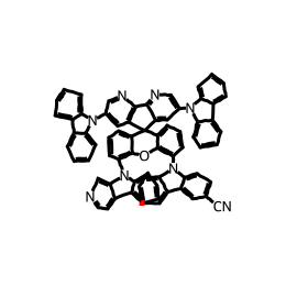 N#Cc1ccc2c(c1)c1ccccc1n2-c1cccc2c1Oc1c(-n3c4ccccc4c4ccncc43)cccc1C21c2cc(-n3c4ccccc4c4ccccc43)cnc2-c2ncc(-n3c4ccccc4c4ccccc43)cc21